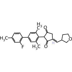 Cc1ccc(-c2cc(C)c(C3C(=O)C/C(=C\C4CCOC4)C3=O)c(C)c2)c(F)c1